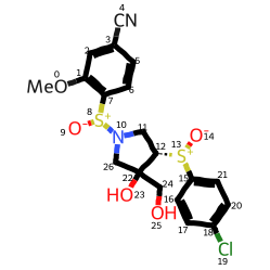 COc1cc(C#N)ccc1[S+]([O-])N1C[C@H]([S+]([O-])c2ccc(Cl)cc2)C(O)(CO)C1